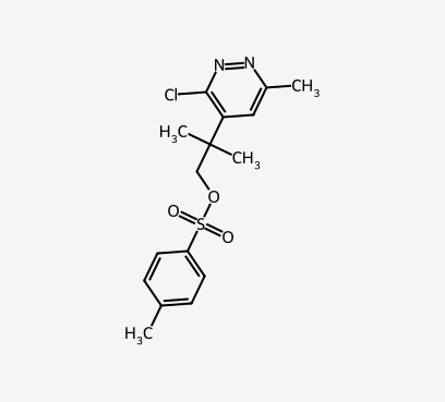 Cc1ccc(S(=O)(=O)OCC(C)(C)c2cc(C)nnc2Cl)cc1